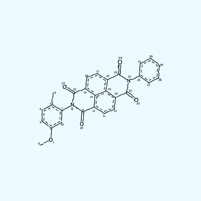 COc1ccc(C)c(N2C(=O)c3ccc4c5c(ccc(c35)C2=O)C(=O)N(c2ccccc2)C4=O)c1